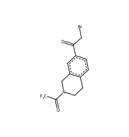 O=C(CBr)c1ccc2c(c1)CN(C(=O)C(F)(F)F)CC2